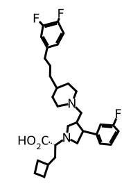 O=C(O)[C@@H](CC1CCC1)N1CC(CN2CCC(CCCc3ccc(F)c(F)c3)CC2)C(c2cccc(F)c2)C1